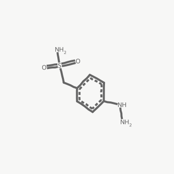 NNc1ccc(CS(N)(=O)=O)cc1